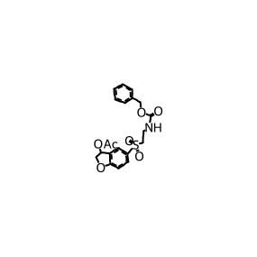 CC(=O)OC1COc2ccc(S(=O)(=O)CCNC(=O)OCc3ccccc3)cc21